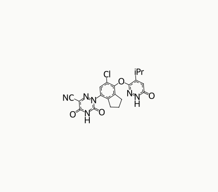 CC(C)c1cc(=O)[nH]nc1Oc1c(Cl)cc(-n2nc(C#N)c(=O)[nH]c2=O)c2c1CCC2